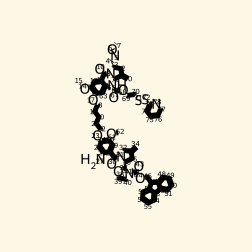 C=C1C[C@@H](/C=N/OC)N(C(=O)c2cc(OC)c(OCCCCCOc3cc(N)c(C(=O)N4CC(=C)C[C@H]4C4OCCN4C(=O)OCC4c5ccccc5-c5ccccc54)cc3OC)cc2NC(=O)OCCSSc2ccccn2)C1